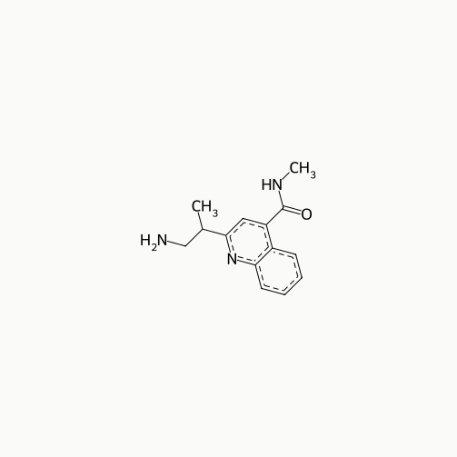 CNC(=O)c1cc(C(C)CN)nc2ccccc12